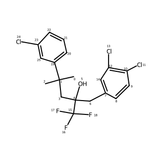 CC(C)(CC(O)(Cc1ccc(Cl)c(Cl)c1)C(F)(F)F)c1cccc(Cl)c1